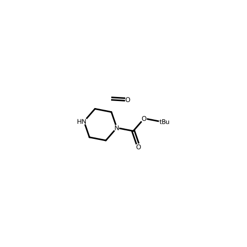 C=O.CC(C)(C)OC(=O)N1CCNCC1